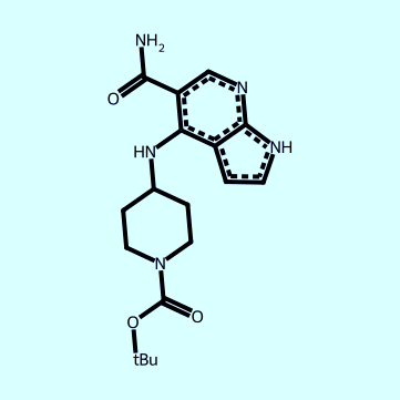 CC(C)(C)OC(=O)N1CCC(Nc2c(C(N)=O)cnc3[nH]ccc23)CC1